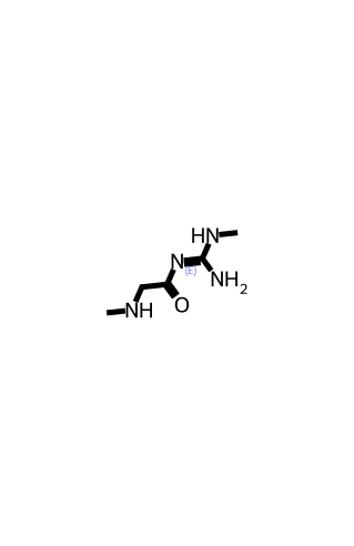 CNCC(=O)/N=C(\N)NC